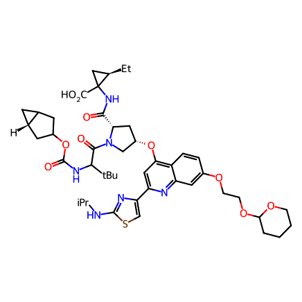 CC[C@@H]1CC1(NC(=O)[C@@H]1C[C@H](Oc2cc(-c3csc(NC(C)C)n3)nc3cc(OCCOC4CCCCO4)ccc23)CN1C(=O)C(NC(=O)OC1CC2C[C@H]2C1)C(C)(C)C)C(=O)O